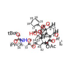 C=C[C@H]1O[C@H]2C[C@H]3OC[C@@]3(OC(C)=O)[C@H]3[C@H](OC(=O)c4ccccc4)[C@]4(C(C)(C)O)C[C@H](OC(=O)C[C@H](CC(C)C)NC(=O)OC(C)(C)C)C(C)=C4[C@@H](OC(C)=O)[C@@H](O1)[C@]23C